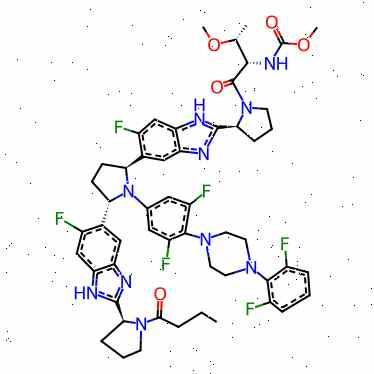 CCCC(=O)N1CCC[C@H]1c1nc2cc([C@@H]3CC[C@@H](c4cc5nc([C@@H]6CCCN6C(=O)[C@@H](NC(=O)OC)[C@@H](C)OC)[nH]c5cc4F)N3c3cc(F)c(N4CCN(c5c(F)cccc5F)CC4)c(F)c3)c(F)cc2[nH]1